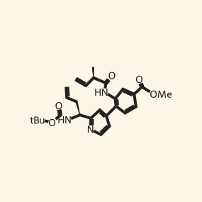 C=CC[C@H](NC(=O)OC(C)(C)C)c1cc(-c2ccc(C(=O)OC)cc2NC(=O)[C@H](C)C=C)ccn1